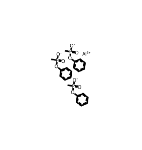 CP(=O)([O-])Oc1ccccc1.CP(=O)([O-])Oc1ccccc1.CP(=O)([O-])Oc1ccccc1.[Al+3]